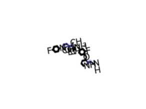 CCOC(/C=C\N(C=O)c1ccc(F)cc1)=C(/C)C(=O)Nc1ccc(OC2=CC=CN/C2=C\C=N)c(F)c1